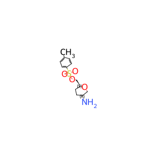 Cc1ccc(S(=O)(=O)OC[C@@H]2CC[C@@H](N)CO2)cc1